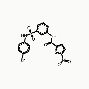 O=C(Nc1cccc(S(=O)(=O)Nc2ccc(Br)cc2)c1)c1ccc([N+](=O)[O-])s1